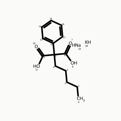 CCCCCC(C(=O)O)(C(=O)O)c1ccccc1.[KH].[NaH]